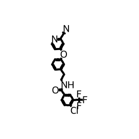 N#Cc1cc(Oc2cccc(CCNC(=O)c3ccc(Cl)c(C(F)(F)F)c3)c2)ccn1